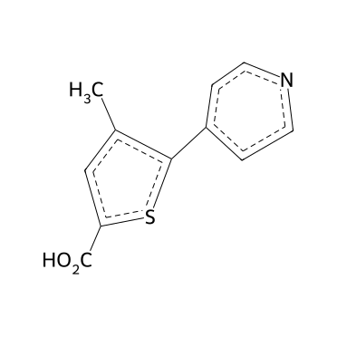 Cc1cc(C(=O)O)sc1-c1ccncc1